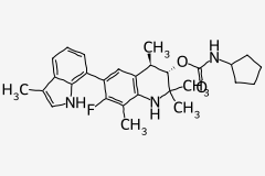 Cc1c(F)c(-c2cccc3c(C)c[nH]c23)cc2c1NC(C)(C)[C@@H](OC(=O)NC1CCCC1)[C@@H]2C